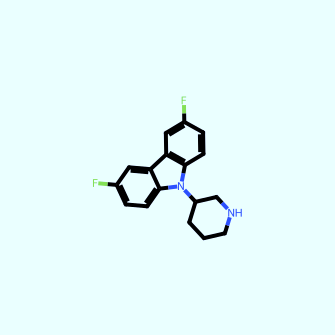 Fc1ccc2c(c1)c1cc(F)ccc1n2C1CCCNC1